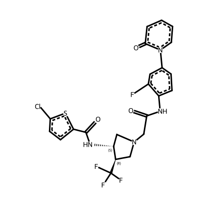 O=C(CN1C[C@@H](C(F)(F)F)[C@H](NC(=O)c2ccc(Cl)s2)C1)Nc1ccc(-n2ccccc2=O)cc1F